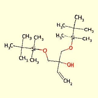 C=CC(O)(CO[Si](C)(C)C(C)(C)C)CO[Si](C)(C)C(C)(C)C